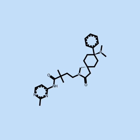 Cc1nccc(NC(=O)C(C)(C)CCN2C[C@]3(CC[C@](c4ccccc4)(N(C)C)CC3)CC2=O)n1